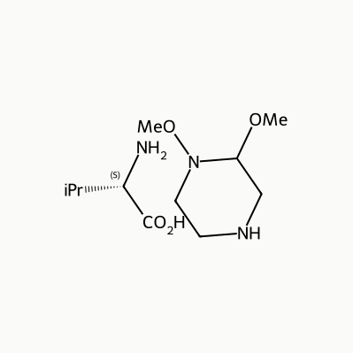 CC(C)[C@H](N)C(=O)O.COC1CNCCN1OC